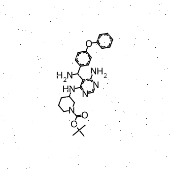 CC(C)(C)OC(=O)N1CCCC(Nc2ncnc(N)c2C(N)c2ccc(Oc3ccccc3)cc2)C1